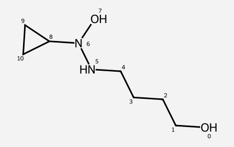 OCCCCNN(O)C1CC1